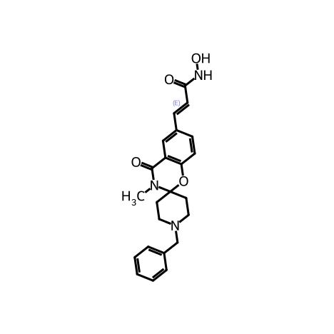 CN1C(=O)c2cc(/C=C/C(=O)NO)ccc2OC12CCN(Cc1ccccc1)CC2